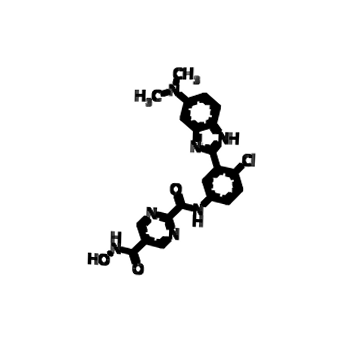 CN(C)c1ccc2[nH]c(-c3cc(NC(=O)c4ncc(C(=O)NO)cn4)ccc3Cl)nc2c1